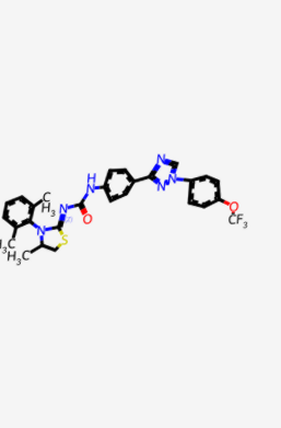 Cc1cccc(C)c1N1/C(=N/C(=O)Nc2ccc(-c3ncn(-c4ccc(OC(F)(F)F)cc4)n3)cc2)SCC1C